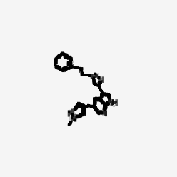 Cn1cc(-c2cnc3[nH]cc(-c4cn(CCc5ccccc5)nn4)c3c2)cn1